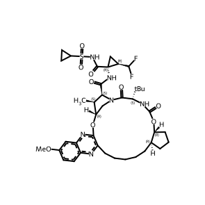 COc1ccc2nc3c(nc2c1)O[C@H]1CN(C(=O)[C@H](C(C)(C)C)NC(=O)O[C@@H]2CCC[C@H]2CCCCC3)[C@H](C(=O)N[C@]2(C(=O)NS(=O)(=O)C3CC3)C[C@H]2C(F)F)[C@@H]1C